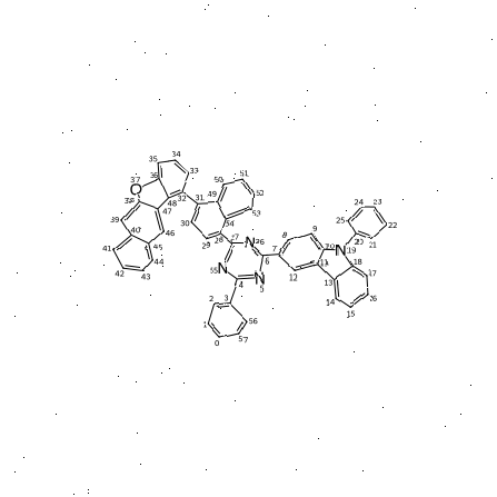 c1ccc(-c2nc(-c3ccc4c(c3)c3ccccc3n4-c3ccccc3)nc(-c3ccc(-c4cccc5oc6cc7ccccc7cc6c45)c4ccccc34)n2)cc1